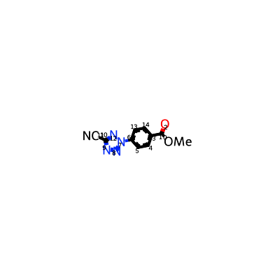 COC(=O)c1ccc(-n2nnc(C#N)n2)cc1